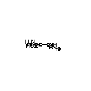 NC[C@H](NC(=O)c1ccc(C#Cc2ccc(NC(=O)CNCCN3CCCC3)cc2)cc1)C(=O)NO